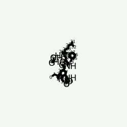 CCc1cn2c3c(cc(C(=O)N[C@@H](Cc4ccccc4)[C@H](O)CNC(C)(C)CCCC(C)C)cc13)NS(=O)(=O)C2.O=CO